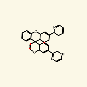 C1=CCC(C2=CC3Oc4ccccc4C4(C5=CCCC=C5OC5C=C(C6=NC=CNC6)C=CC54)C3CC2)N=C1